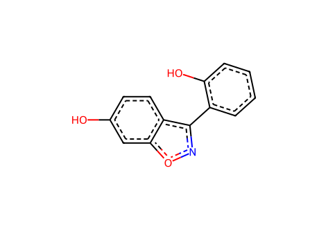 Oc1ccc2c(-c3ccccc3O)noc2c1